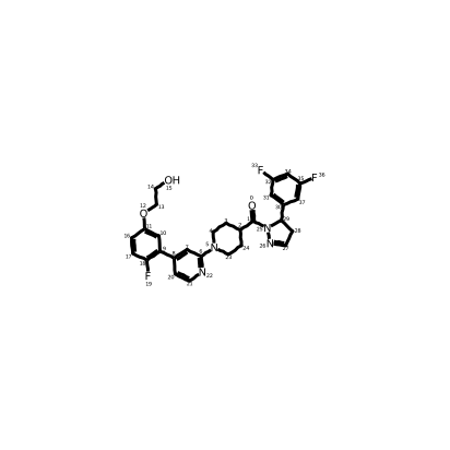 O=C(C1CCN(c2cc(-c3cc(OCCO)ccc3F)ccn2)CC1)N1N=CCC1c1cc(F)cc(F)c1